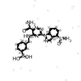 NC(=O)c1nnc(-n2ncc3c([S+](N)[O-])cccc32)nc1NCc1cccc(B(O)O)c1